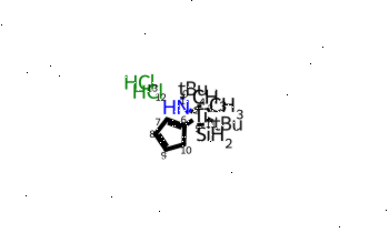 CC(C)(C)[NH][Ti]([CH3])([CH3])(=[SiH2])([C]1=CC=CC1)[C](C)(C)C.Cl.Cl